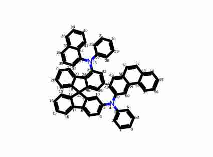 c1ccc(N(c2ccc3c(c2)C2(c4ccccc4-3)c3ccccc3-c3c(N(c4ccccc4)c4cccc5ccccc45)cccc32)c2ccc3ccc4ccccc4c3c2)cc1